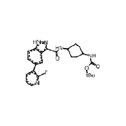 CC(C)(C)OC(=O)NC1CCC(NC(=O)c2n[nH]c3ccc(-c4cccnc4F)cc23)CC1